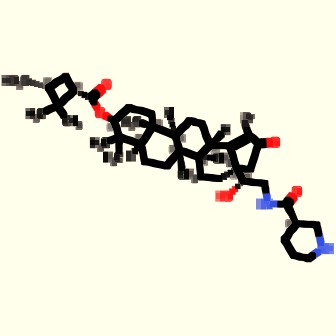 CC(C)C1=C2[C@H]3CC[C@@H]4[C@@]5(C)CC[C@H](OC(=O)[C@H]6C[C@@H](C(=O)O)C6(C)C)C(C)(C)[C@@H]5CC[C@@]4(C)[C@]3(C)CC[C@@]2([C@@H](O)CNC(=O)[C@@H]2CCCNC2)CC1=O